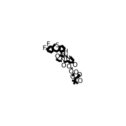 CC1(C)COC(=O)[C@@H]1OC(=O)OCOc1c2n(ccc1=O)N[C@@H]1[C@H](c3cccc4c3Cc3ccc(F)c(F)c3CS4)OCCN1C2=O